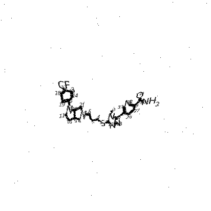 Cn1c(SCCCN2CC3CCN(c4ccc(C(F)(F)F)cc4)C3C2)nnc1-c1ccc(C(N)=O)nc1